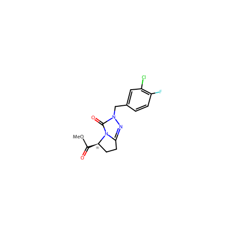 COC(=O)[C@@H]1CCc2nn(Cc3ccc(F)c(Cl)c3)c(=O)n21